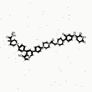 CC(C)NC(=O)C1(C)CCN(c2ccc(-c3cc(-c4ccc(N5CCN(C(=O)CN6CCC(c7ccc(NC8CCC(=O)NC8=O)cc7F)CC6)CC5)cc4)cn4ncc(C#N)c34)cc2)CC1